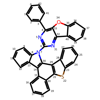 c1ccc(-c2nc(-n3c4ccccc4c4c5ccccc5c5sc6ccccc6c5c43)nc3c2oc2ccccc23)cc1